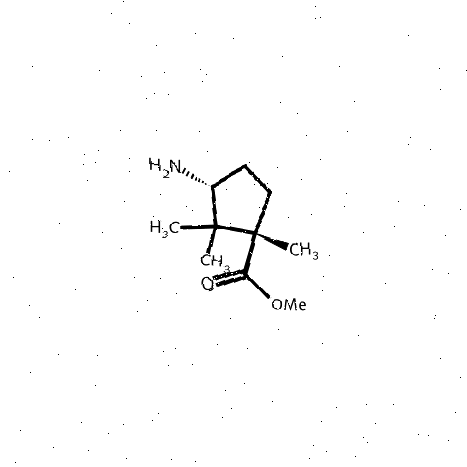 COC(=O)[C@@]1(C)CC[C@@H](N)C1(C)C